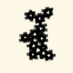 c1ccc(-c2nc(-c3ccccc3)nc(-c3ccc(-c4ccc(-c5sc6c(c(-c7ccccc7)nc7ccccc76)c5-c5cccc(-n6c7ccccc7c7ccccc76)c5)cc4)cc3)n2)cc1